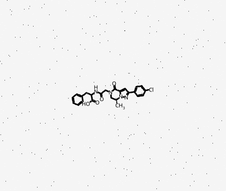 C[C@H]1CN(CC(=O)NC(Cc2ccccc2)C(=O)O)C(=O)c2cc(-c3ccc(Cl)cc3)nn21